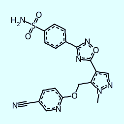 Cn1ncc(-c2nc(-c3ccc(S(N)(=O)=O)cc3)no2)c1COc1ccc(C#N)cn1